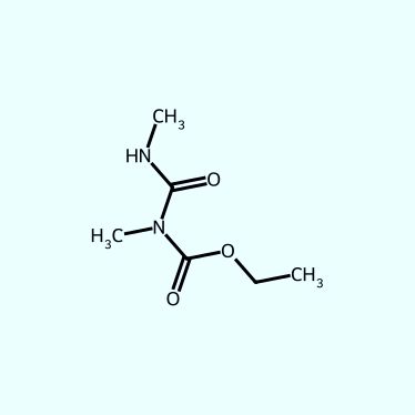 CCOC(=O)N(C)C(=O)NC